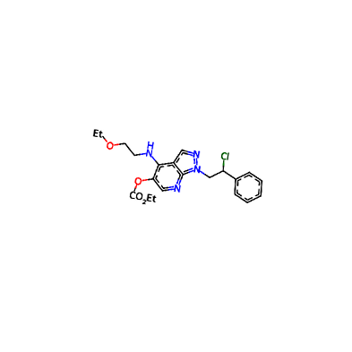 CCOCCNc1c(OC(=O)OCC)cnc2c1cnn2CC(Cl)c1ccccc1